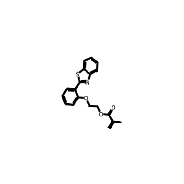 C=C(C)C(=O)OCCOc1ccccc1-c1nc2ccccc2s1